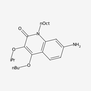 CCCCCCCCn1c(=O)c(OC(C)C)c(OCCCC)c2ccc(N)cc21